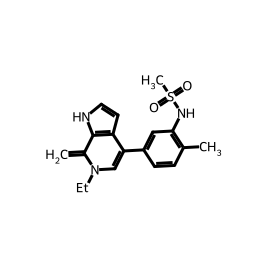 C=C1c2[nH]ccc2C(c2ccc(C)c(NS(C)(=O)=O)c2)=CN1CC